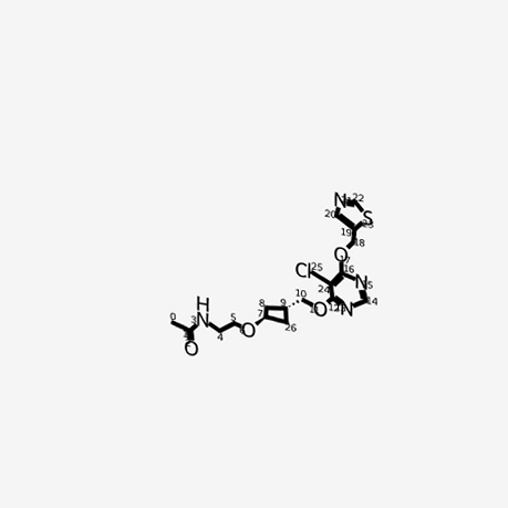 CC(=O)NCCO[C@H]1C[C@H](COc2ncnc(OCc3cncs3)c2Cl)C1